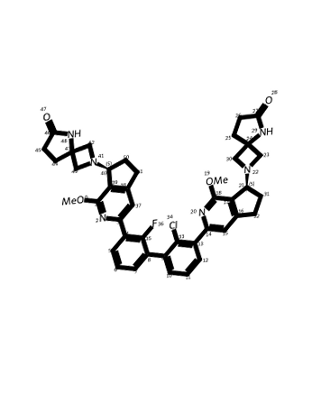 COc1nc(-c2cccc(-c3cccc(-c4cc5c(c(OC)n4)[C@@H](N4CC6(CCC(=O)N6)C4)CC5)c3Cl)c2F)cc2c1[C@@H](N1CC3(CCC(=O)N3)C1)CC2